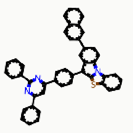 c1ccc(-c2cc(-c3ccc(-c4c5cc(-c6ccc7ccccc7c6)ccc5n5c4sc4ccccc45)cc3)nc(-c3ccccc3)n2)cc1